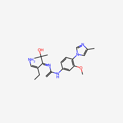 C=C(/N=C(\C(=C/N)CC)C(C)(C)O)Nc1ccc(-n2cnc(C)c2)c(OC)c1